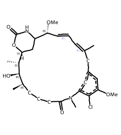 COc1cc2cc(c1Cl)N(C)C(=O)CCC[C@@H](C)[C@@H](O)[C@H](C)[C@@H]1CC(NC(=O)O1)[C@H](OC)/C=C/C=C(\C)C2